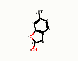 CC(C)c1ccc2c(c1)OB(O)C2